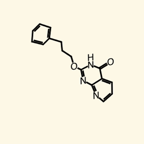 O=c1[nH]c(OCCCc2ccccc2)nc2ncccc12